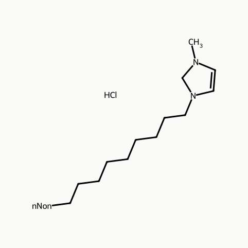 CCCCCCCCCCCCCCCCCCN1C=CN(C)C1.Cl